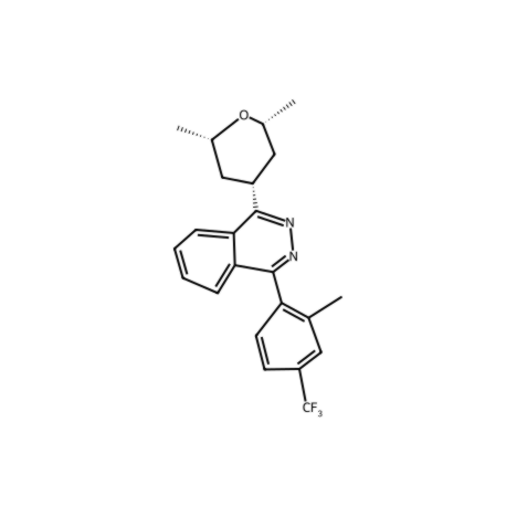 Cc1cc(C(F)(F)F)ccc1-c1nnc([C@H]2C[C@@H](C)O[C@@H](C)C2)c2ccccc12